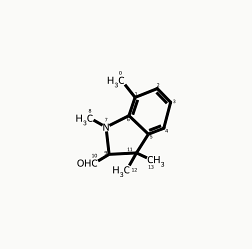 Cc1cccc2c1N(C)C(C=O)C2(C)C